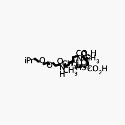 CC(C)CCOCCOCCC(=O)NC(C)(C)CCCCC(NC(=O)C(C)(C)CP(S)C(=O)O)C(=O)O